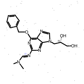 CN(C)/C=N/c1nc(OCc2ccccc2)c2ncn(C[C@H](O)CO)c2n1